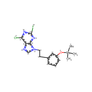 CC(C)(C)[Si](C)(C)Oc1cccc(CCn2cnc3c(Cl)nc(F)nc32)c1